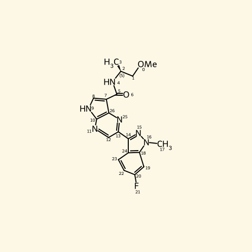 COC[C@H](C)NC(=O)c1c[nH]c2ncc(-c3nn(C)c4cc(F)ccc34)nc12